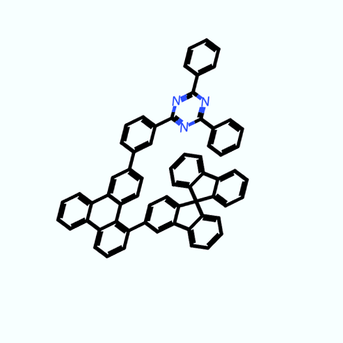 c1ccc(-c2nc(-c3ccccc3)nc(-c3cccc(-c4ccc5c(c4)c4ccccc4c4cccc(-c6ccc7c(c6)-c6ccccc6C76c7ccccc7-c7ccccc76)c45)c3)n2)cc1